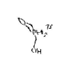 O=[PH2]O.[Zr]